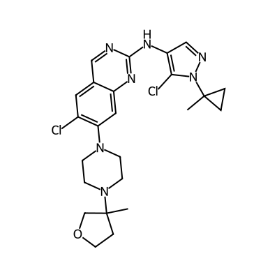 CC1(N2CCN(c3cc4nc(Nc5cnn(C6(C)CC6)c5Cl)ncc4cc3Cl)CC2)CCOC1